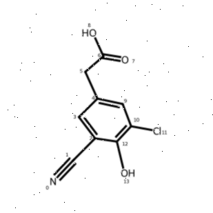 N#Cc1cc(CC(=O)O)cc(Cl)c1O